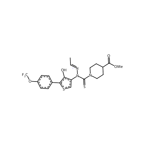 C/C=N/N(C(=S)N1CCC(C(=O)OC)CC1)c1csc(-c2ccc(OC(F)(F)F)cc2)c1O